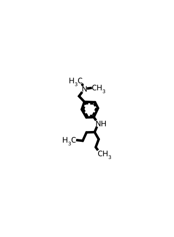 CCCC(CCC)Nc1ccc(CN(C)C)cc1